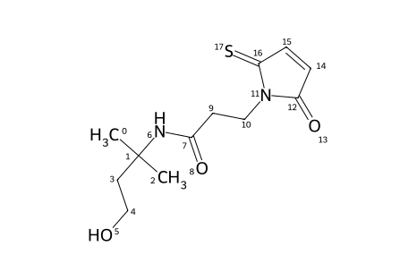 CC(C)(CCO)NC(=O)CCN1C(=O)C=CC1=S